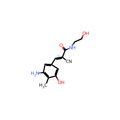 Cc1c(N)cc(/C=C(\C#N)C(=O)NCCO)cc1O